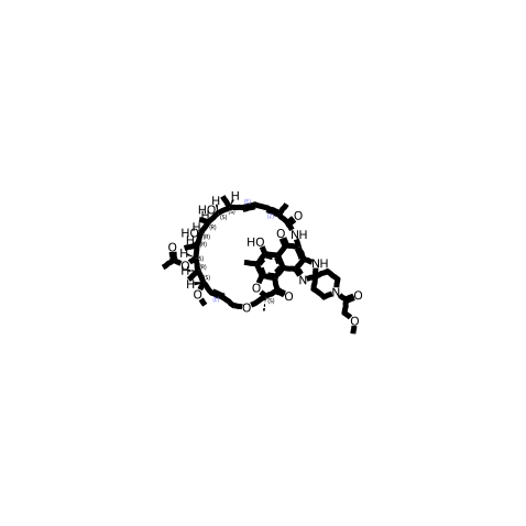 COCC(=O)N1CCC2(CC1)N=C1C(=C3NC(=O)/C(C)=C\C=C\[C@H](C)[C@H](O)[C@@H](C)[C@@H](O)[C@@H](C)[C@H](OC(C)=O)[C@H](C)[C@@H](OC)/C=C/CO[C@@]4(C)Oc5c(C)c(O)c(c1c5C4=O)C3=O)N2